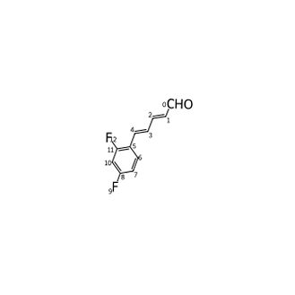 O=C/C=C/C=C/c1ccc(F)cc1F